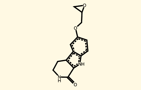 O=C1NCCc2c1[nH]c1ccc(OCC3CO3)cc21